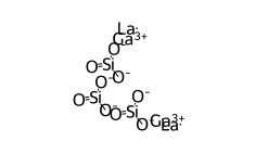 O=[Si]([O-])[O-].O=[Si]([O-])[O-].O=[Si]([O-])[O-].[Ga+3].[Ga+3].[La].[La]